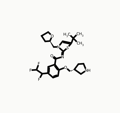 CC(C)(C)c1cn(C[C@H]2CCCO2)c(=NC(=O)c2cc(C(F)C(F)F)ccc2OC[C@@H]2CCNC2)s1